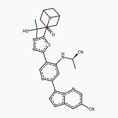 C[C@H](C#N)Nc1cc(-c2ccc3cc(C#N)cnn23)ncc1-c1nnc(N2CC3CC(C2)N3C(=O)C(C)(C)O)s1